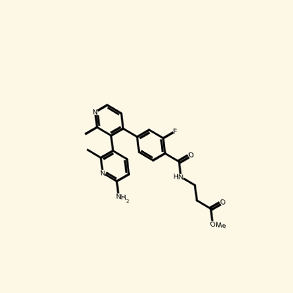 COC(=O)CCNC(=O)c1ccc(-c2ccnc(C)c2-c2ccc(N)nc2C)cc1F